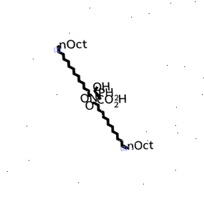 CCCCCCCC/C=C\CCCCCCCCCCCC(=O)N(C(=O)CCCCCCCCCCC/C=C\CCCCCCCC)C(P)(CO)C(=O)O